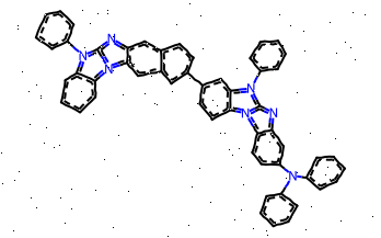 c1ccc(N(c2ccccc2)c2ccc3c(c2)nc2n(-c4ccccc4)c4cc(-c5ccc6cc7nc8n(-c9ccccc9)c9ccccc9n8c7cc6c5)ccc4n32)cc1